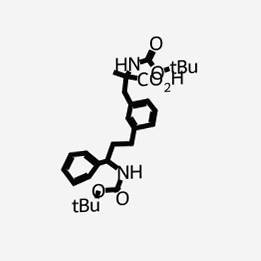 CC(C)(C)OC(=O)NC(CCc1cccc(CC(C)(NC(=O)OC(C)(C)C)C(=O)O)c1)c1ccccc1